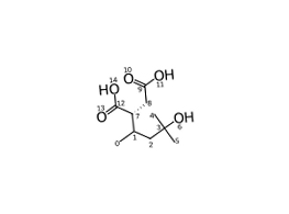 CC(CC(C)(C)O)[C@@H](CC(=O)O)C(=O)O